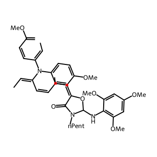 C=C(/C=C\C(=C/C)N(C(/C=C\C(C)/C=C1/OC(Nc2c(OC)cc(OC)cc2OC)N(CCCCC)C1=O)=C/C)c1ccc(OC)cc1)OC